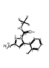 Cc1ccccc1-c1cc(N)nn1C(=O)OC(C)(C)C